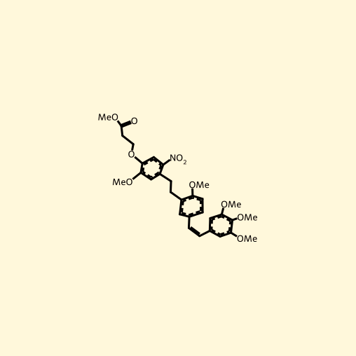 COC(=O)CCOc1cc([N+](=O)[O-])c(CCc2cc(/C=C\c3cc(OC)c(OC)c(OC)c3)ccc2OC)cc1OC